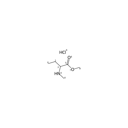 CCC(NC)C(=O)OC.Cl